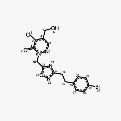 O=c1c(Cl)c(CO)cnn1Cc1nc(CCc2ccc(Br)cc2)no1